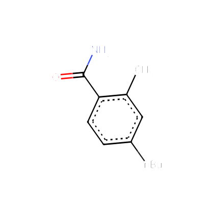 CCCCc1ccc(C(N)=O)c(C)c1